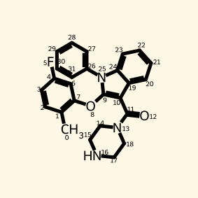 Cc1ccc(F)cc1Oc1c(C(=O)N2CCNCC2)c2ccccc2n1-c1ccccc1